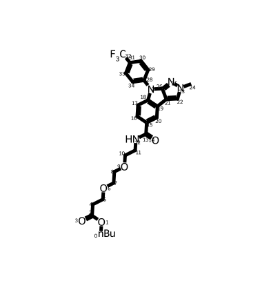 CCCCOC(=O)CCOCCOCCNC(=O)c1ccc2c(c1)c1cn(C)nc1n2-c1ccc(C(F)(F)F)cc1